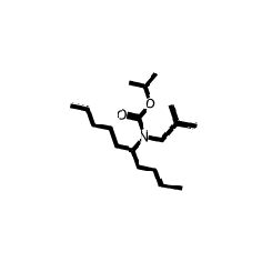 CCCCCC(CCCC)N(CC(C)C)C(=O)OC(C)C